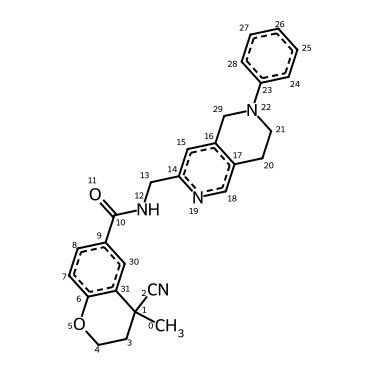 CC1(C#N)CCOc2ccc(C(=O)NCc3cc4c(cn3)CCN(c3ccccc3)C4)cc21